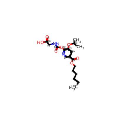 CCCCCCOC(=O)c1cnc(OC(=O)NCC(=O)O)c(OC(C)C)c1